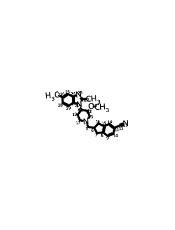 CO[C@@H]1CN(CC2Cc3ccc(C#N)cc3C2)CC[C@H]1n1c(C)nc2cc(C)ccc21